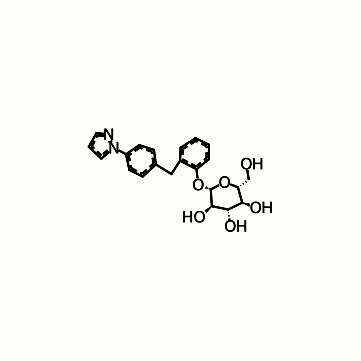 OC[C@H]1O[C@@H](Oc2ccccc2Cc2ccc(-n3cccn3)cc2)[C@H](O)[C@@H](O)[C@@H]1O